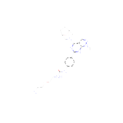 CCn1ncc2c(N3CC4CCC(C3)O4)nc(-c3ccc(NC(=O)NCCOCCN)cc3)nc21